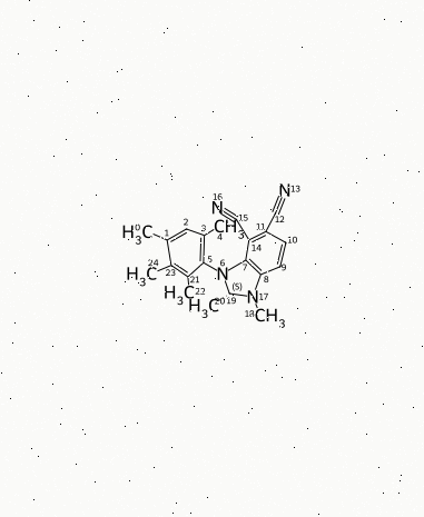 Cc1cc(C)c(N2c3c(ccc(C#N)c3C#N)N(C)[C@@H]2C)c(C)c1C